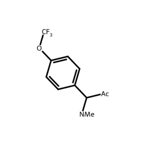 CNC(C(C)=O)c1ccc(OC(F)(F)F)cc1